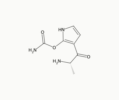 C[C@H](N)C(=O)c1cc[nH]c1OC(N)=O